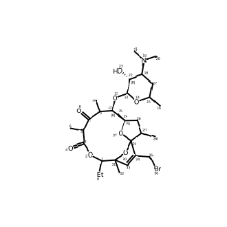 CCC1OC(=O)C(C)C(=O)C(C)[C@@H](OC2OC(C)CC(N(C)C)[C@H]2O)[C@]2(C)CC(C)C3(OC1(C)C=C3CBr)O2